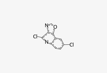 Clc1ccc2nc(Cl)c3ncoc3c2c1